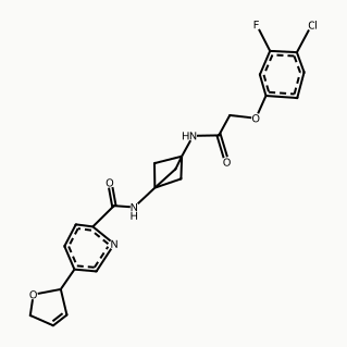 O=C(COc1ccc(Cl)c(F)c1)NC12CC(NC(=O)c3ccc(C4C=CCO4)cn3)(C1)C2